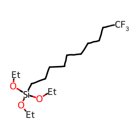 CCO[Si](CCCCCCCCCC(F)(F)F)(OCC)OCC